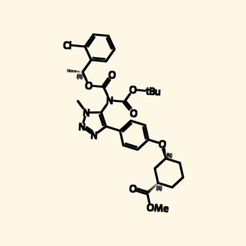 COC(=O)[C@H]1CCC[C@H](Oc2ccc(-c3nnn(C)c3N(C(=O)O[C@H](C)c3ccccc3Cl)C(=O)OC(C)(C)C)cc2)C1